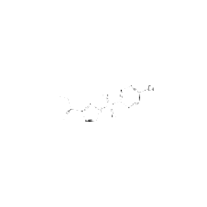 O=C(CCl)c1ccn(S(=O)(=O)c2ccc(Br)cc2)c1